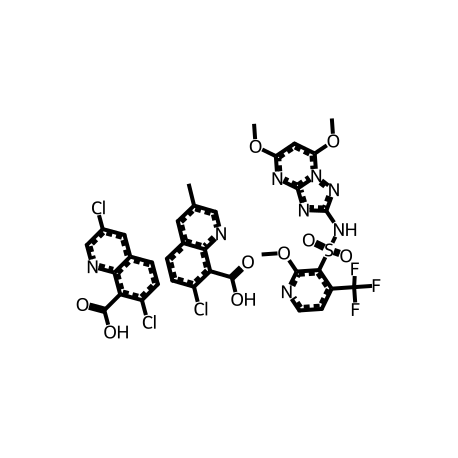 COc1cc(OC)n2nc(NS(=O)(=O)c3c(C(F)(F)F)ccnc3OC)nc2n1.Cc1cnc2c(C(=O)O)c(Cl)ccc2c1.O=C(O)c1c(Cl)ccc2cc(Cl)cnc12